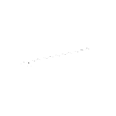 COC(=O)CCCCCCCCCCCCCCCCCCC(C)C